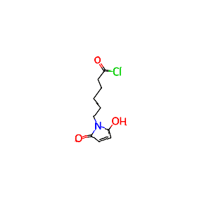 O=C(Cl)CCCCCN1C(=O)C=CC1O